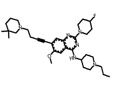 CCCN1CCC(Nc2nc(N3CCC(F)CC3)nc3cc(C#CCCN4CCCC(C)(C)C4)c(OC)cc23)CC1